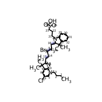 CCCC[n+]1cc(Cl)cc2c1N=C(/C=C/C(Br)=C/C=C1/N(CCCS(=O)(=O)O)c3ccccc3C1(C)C)C2(C)C